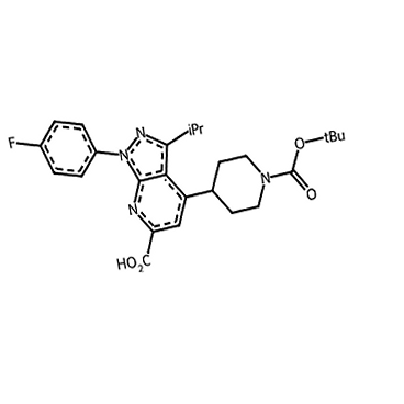 CC(C)c1nn(-c2ccc(F)cc2)c2nc(C(=O)O)cc(C3CCN(C(=O)OC(C)(C)C)CC3)c12